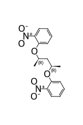 C[C@H](C[C@@H](C)Oc1ccccc1[N+](=O)[O-])Oc1ccccc1[N+](=O)[O-]